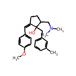 COc1ccc(C=C2CCC(CN(C)C)C2(O)Cc2cccc(C)c2)cc1